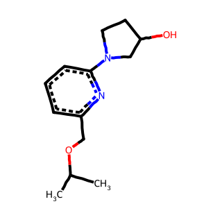 CC(C)OCc1cccc(N2CCC(O)C2)n1